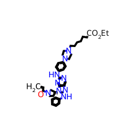 C=CC(=O)N1CC[C@H](n2c(Nc3ccccc3)nc3cnc(Nc4ccc(N5CCN(CCCCCCC(=O)OCC)CC5)cc4)nc32)C1